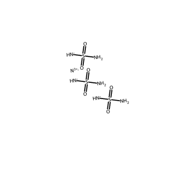 [N+3].[NH-]S(N)(=O)=O.[NH-]S(N)(=O)=O.[NH-]S(N)(=O)=O